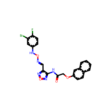 O=C(COc1ccc2ccccc2c1)Nc1nonc1/C=N/ONc1ccc(F)c(Br)c1